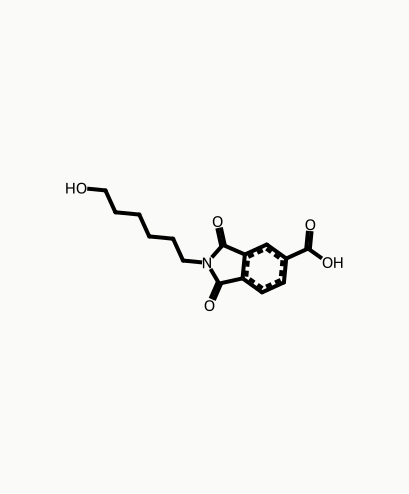 O=C(O)c1ccc2c(c1)C(=O)N(CCCCCCO)C2=O